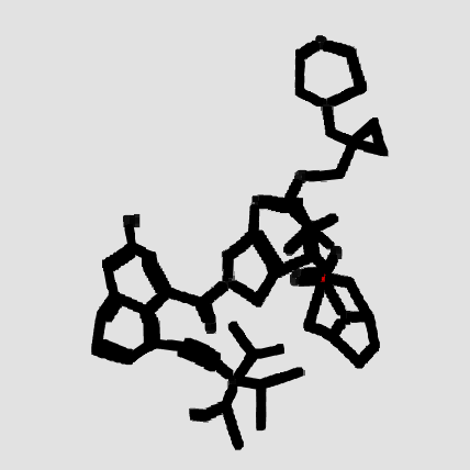 CC(C)[Si](C#Cc1cccc2cc(O)cc(C(=O)N3Cc4nc(OCC5(CN6CCOCC6)CC5)nc(N5CC6CCC(C5)N6C(=O)OC(C)(C)C)c4C3)c12)(C(C)C)C(C)C